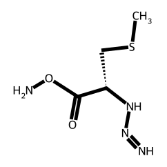 CSC[C@H](NN=N)C(=O)ON